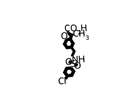 Cc1c(C(=O)O)oc2ccc(CCNS(=O)(=O)c3ccc(Cl)cc3)cc12